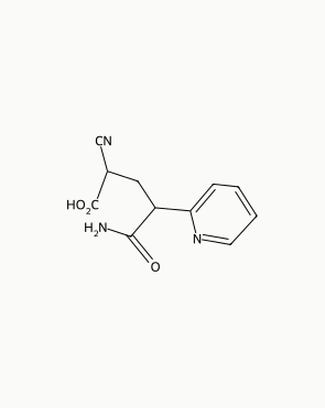 N#CC(CC(C(N)=O)c1ccccn1)C(=O)O